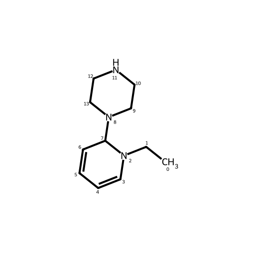 CCN1C=CC=CC1N1CCNCC1